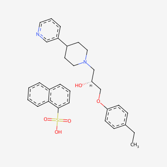 CCc1ccc(OC[C@H](O)CN2CCC(c3cccnc3)CC2)cc1.O=S(=O)(O)c1cccc2ccccc12